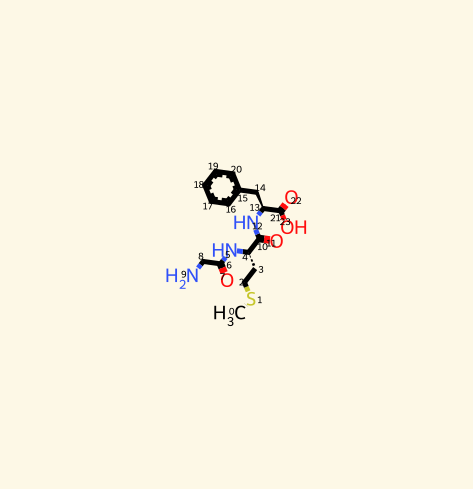 CSCC[C@H](NC(=O)CN)C(=O)N[C@@H](Cc1ccccc1)C(=O)O